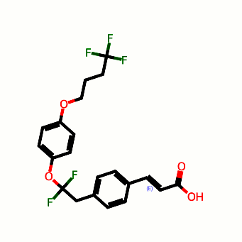 O=C(O)/C=C/c1ccc(CC(F)(F)Oc2ccc(OCCCC(F)(F)F)cc2)cc1